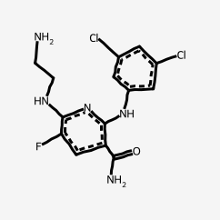 NCCNc1nc(Nc2cc(Cl)cc(Cl)c2)c(C(N)=O)cc1F